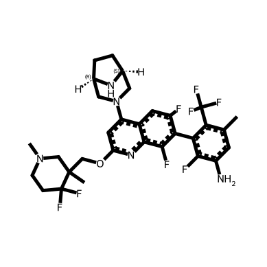 Cc1cc(N)c(F)c(-c2c(F)cc3c(N4C[C@H]5CC[C@@H](C4)N5)cc(OCC4(C)CN(C)CCC4(F)F)nc3c2F)c1C(F)(F)F